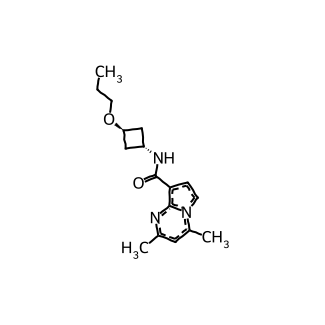 CCCO[C@H]1C[C@H](NC(=O)c2ccn3c(C)cc(C)nc23)C1